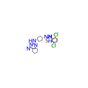 CN(C)c1nc(N[C@H]2CC[C@@H](NC(=S)Nc3cc(Cl)ccc3Cl)CC2)nc2c1CCCC2